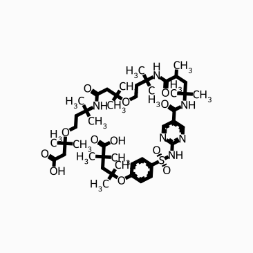 CC(CC(C)(C)NC(=O)c1cnc(NS(=O)(=O)c2ccc(OC(C)(C)CC(C)(C)C(=O)O)cc2)nc1)C(=O)NC(C)(C)CCOC(C)(C)CC(=O)NC(C)(C)CCOC(C)(C)CC(=O)O